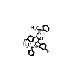 C[C@H](NCC(C(=O)C(CN[C@@H](C)c1ccccc1)c1ccc(F)cc1)c1ccc(F)cc1)c1ccccc1